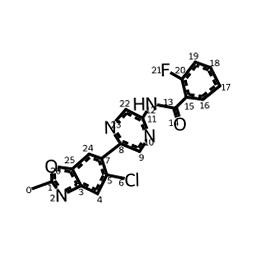 Cc1nc2cc(Cl)c(-c3cnc(NC(=O)c4ccccc4F)cn3)cc2o1